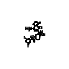 NC(=O)c1cccc(F)c1C(=O)Nc1n[nH]c2c1CN(S(=O)(=O)c1cc(F)cc(F)c1)CC2